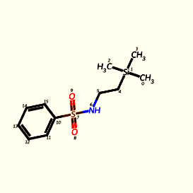 C[Si](C)(C)CCNS(=O)(=O)c1ccccc1